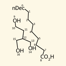 CCCCCCCCCCCCCCCCCC(=O)O.OCCC(CO)CO